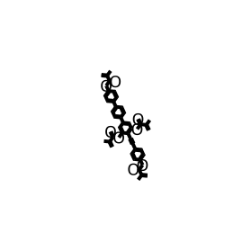 C=C(C)C(=O)Oc1ccc(C#Cc2c(OC(=O)C(=C)C)cc(-c3ccc(-c4ccc(OC(=O)C(=C)C)cc4)cc3)cc2OC(=O)C(=C)C)cc1